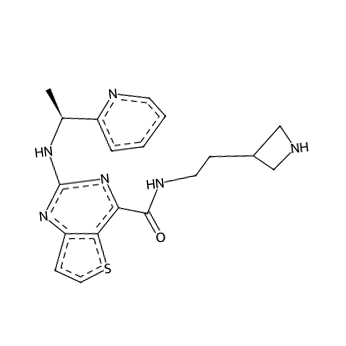 C[C@H](Nc1nc(C(=O)NCCC2CNC2)c2sccc2n1)c1ccccn1